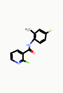 Cc1cc(F)ccc1NC(=O)c1cccnc1F